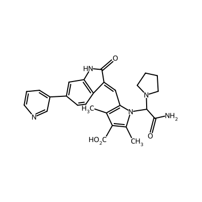 Cc1c(C(=O)O)c(C)n(C(C(N)=O)N2CCCC2)c1C=C1C(=O)Nc2cc(-c3cccnc3)ccc21